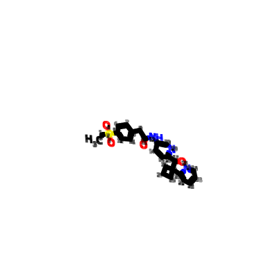 CCS(=O)(=O)c1ccc(CC(=O)Nc2ccc(C(=O)C3(c4ccccn4)CCC3)nc2)cc1